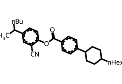 CCCCCCC1CCC(c2ccc(C(=O)Oc3ccc(C(C)CCCC)cc3C#N)cc2)CC1